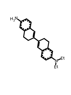 CCN(CC)c1ccc2c(c1)CCC(C1=Cc3ccc(N)cc3CC1)=C2